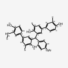 CCCc1ccc(C(c2cc(-c3ccc(O)c(C)c3)cc(C)c2O)c2cc(-c3ccc(O)c(PC)c3)cc(C)c2O)cc1